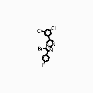 Fc1ccc(-c2nc3ncc(-c4cc(Cl)cc(Cl)c4)cn3c2Br)cc1